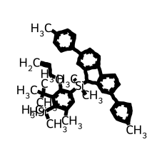 C=CCOc1c([Si](C)(C)C2c3cc(-c4ccc(C)cc4)ccc3-c3ccc(-c4ccc(C)cc4)cc32)cc(C)c([SiH](C)C)c1C(C)(C)C